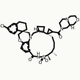 C[C@@H]1[C@@H](C)CCC[C@@]2(CC2C(=O)N2CCN3CCOC[C@H]3C2)[C@@H]2CC[C@H]2CN2C[C@@]3(CCCc4cc(Cl)ccc43)COc3ccc(cc32)C(=O)NS1(=O)=O